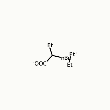 CCCCC(CC)C(=O)[O-].C[CH2][Pt+]